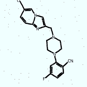 N#Cc1ccc(F)cc1N1CCN(Cc2cn3cc(Cl)ccc3n2)CC1